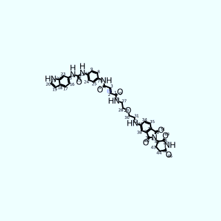 O=C(/C=C/C(=O)Nc1ccc(NC(=O)Nc2ccc3cc[nH]c3c2)cc1)NCCOCCNc1ccc2c(c1)C(=O)N(C1CCC(=O)NC1=O)C2=O